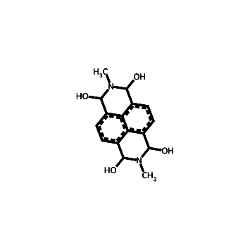 CN1C(O)c2ccc3c4c(ccc(c24)C1O)C(O)N(C)C3O